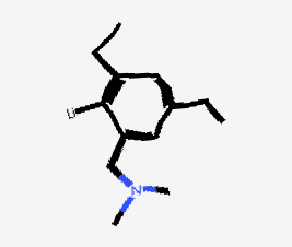 [Li][c]1c(CC)cc(CC)cc1CN(C)C